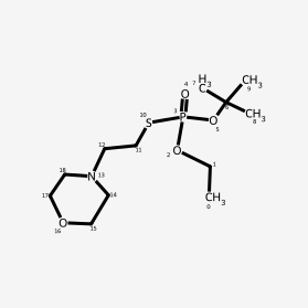 CCOP(=O)(OC(C)(C)C)SCCN1CCOCC1